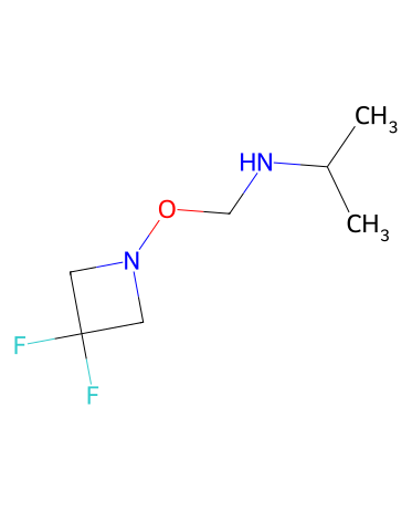 CC(C)NCON1CC(F)(F)C1